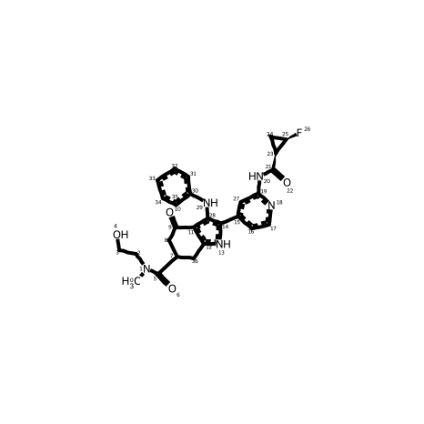 CN(CCO)C(=O)C1CC(=O)c2c([nH]c(-c3ccnc(NC(=O)[C@H]4C[C@H]4F)c3)c2Nc2ccccc2)C1